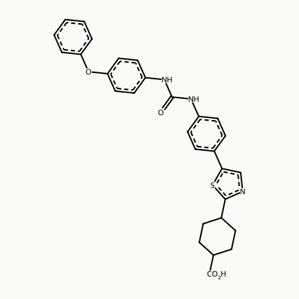 O=C(Nc1ccc(Oc2ccccc2)cc1)Nc1ccc(-c2cnc(C3CCC(C(=O)O)CC3)s2)cc1